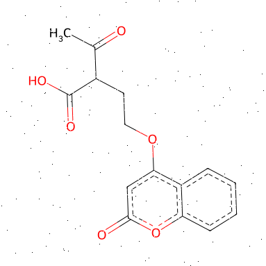 CC(=O)C(CCOc1cc(=O)oc2ccccc12)C(=O)O